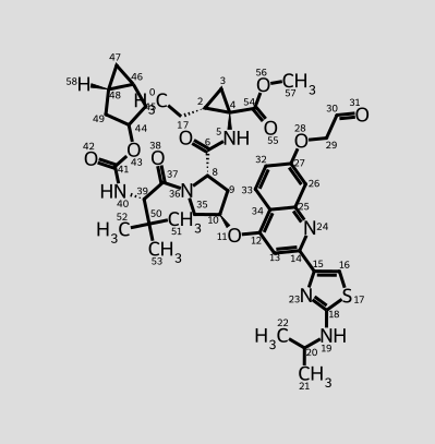 CC[C@@H]1C[C@]1(NC(=O)[C@@H]1C[C@@H](Oc2cc(-c3csc(NC(C)C)n3)nc3cc(OCC=O)ccc23)CN1C(=O)[C@@H](NC(=O)OC1CC2C[C@H]2C1)C(C)(C)C)C(=O)OC